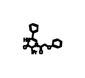 CC(C)[C@H]1C(=O)NC(c2ccccc2)=CN1C(=O)COc1ccccc1